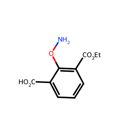 CCOC(=O)c1cccc(C(=O)O)c1ON